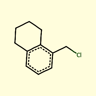 ClCc1cccc2c1CCCC2